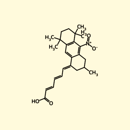 CC1CC(=CC=CC=CC(=O)O)c2cc3c(c([N+](=O)[O-])c2C1)C(C)(C)CCC3(C)C